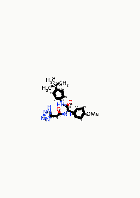 COc1ccc(C(NC(=O)Cc2nnn[nH]2)C(=O)Nc2ccc([Si](C)(C)C)cc2)cc1